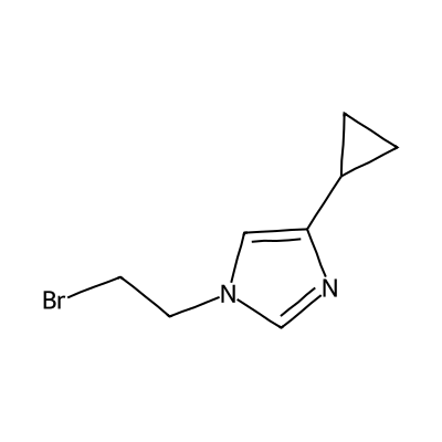 BrCCn1cnc(C2CC2)c1